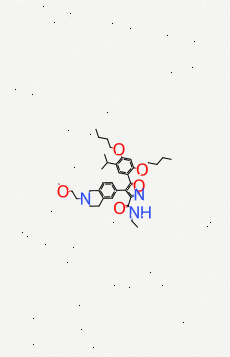 CCCCOc1cc(OCCCC)c(C(C)C)cc1-c1onc(C(=O)NCC)c1-c1ccc2c(c1)CCN(CCOC)C2